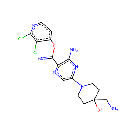 N=C(Oc1ccnc(Cl)c1Cl)c1ncc(N2CCC(O)(CN)CC2)nc1N